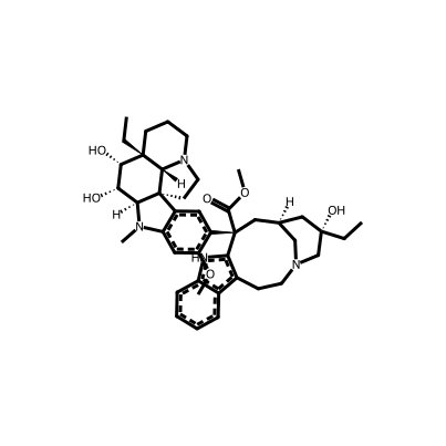 CC[C@]1(O)C[C@H]2CN(CCc3c([nH]c4ccccc34)[C@@](C(=O)OC)(c3cc4c(cc3OC)N(C)[C@H]3[C@H](O)[C@H](O)[C@]5(CC)CCCN6CC[C@]43[C@@H]65)C2)C1